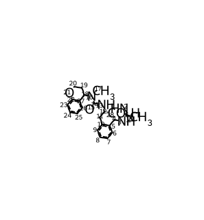 CC(=N)NCc1ccccc1C[C@H](NC(=O)N(C)C1CCOc2ccccc21)C(=O)O